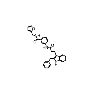 O=C(C=Cc1c(Cc2ccccc2)[nH]c2ccccc12)Nc1cccc(C(=O)NCc2ccco2)c1